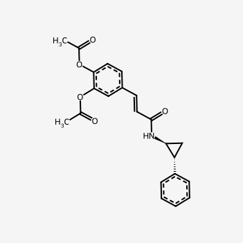 CC(=O)Oc1ccc(/C=C/C(=O)N[C@H]2C[C@@H]2c2ccccc2)cc1OC(C)=O